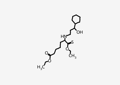 CCOC(=O)CCCCC(NCCC(O)C1CCCCC1)C(=S)OCC